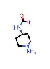 NN1CCC(NC(=O)I)CC1